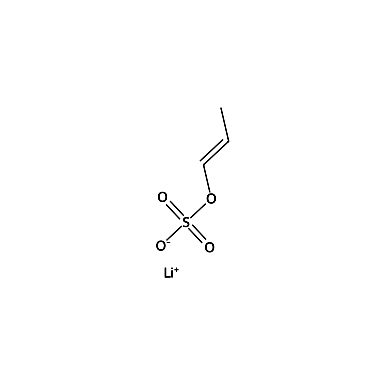 CC=COS(=O)(=O)[O-].[Li+]